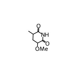 COC1CC(C)C(=O)NC1=O